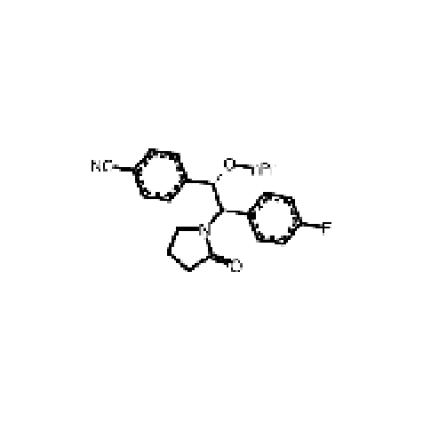 CCCO[C@@H](c1ccc(C#N)cc1)[C@@H](c1ccc(F)cc1)N1CCCC1=O